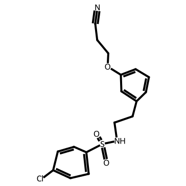 N#CCCOc1cccc(CCNS(=O)(=O)c2ccc(Cl)cc2)c1